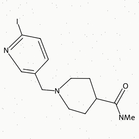 CNC(=O)C1CCN(Cc2ccc(I)nc2)CC1